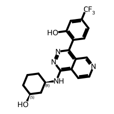 Oc1cc(C(F)(F)F)ccc1-c1nnc(N[C@@H]2CCC[C@H](O)C2)c2ccncc12